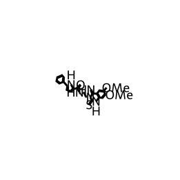 COc1cc2[nH]c(=S)n(CCNC(=O)c3ccc(-c4ccccc4)[nH]3)c(=N)c2cc1OC